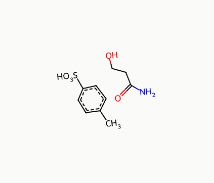 Cc1ccc(S(=O)(=O)O)cc1.NC(=O)CCO